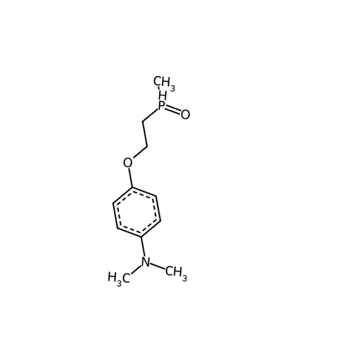 CN(C)c1ccc(OCC[PH](C)=O)cc1